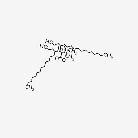 CCCCCCCCCCCCCC(CCO)N(C(CCO)CCCCCCCCCCCCC)C(C(=O)[O-])[N+](C)(C)C